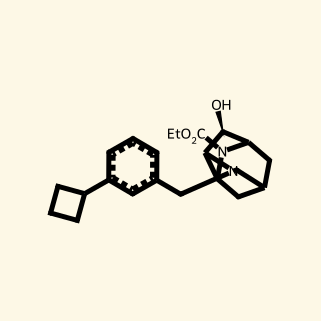 CCOC(=O)N1C2CC3CC1[C@H](O)C2N(Cc1cccc(C2CCC2)c1)C3